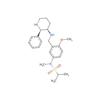 COc1ccc(N(C)S(=O)(=O)C(C)C)cc1CN[C@@H]1CCCN[C@@H]1c1ccccc1